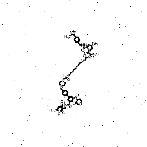 CCN(c1cc(-c2ccc(CN3CCN(CC(=O)NCCCCCCCCCOCC(=O)NC(C(=O)N4C[C@H](O)C[C@H]4C(=O)NCc4ccc(-c5scnc5C)cc4)C(C)(C)C)CC3)cc2)cc(C(=O)NCc2c(C)cc(C)[nH]c2=O)c1C)C1CCOCC1